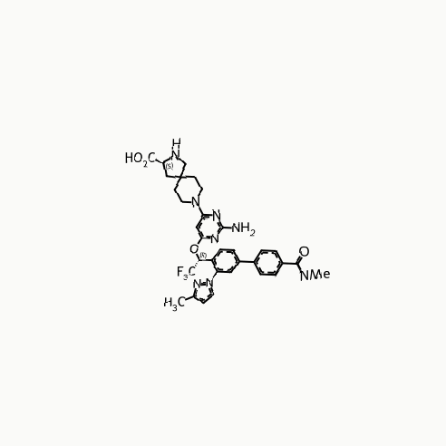 CNC(=O)c1ccc(-c2ccc([C@@H](Oc3cc(N4CCC5(CC4)CN[C@H](C(=O)O)C5)nc(N)n3)C(F)(F)F)c(-n3ccc(C)n3)c2)cc1